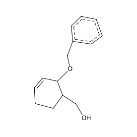 OCC1CCC=CC1OCc1ccccc1